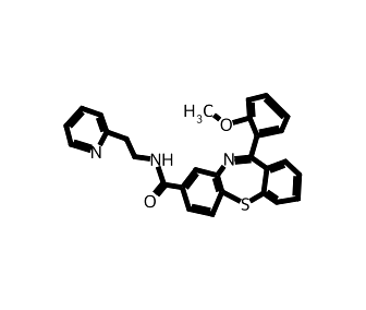 COc1ccccc1C1=Nc2cc(C(=O)NCCc3ccccn3)ccc2Sc2ccccc21